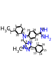 CCc1cccc(N(Cc2nc(-c3ccccc3)nn2C)c2ccc(C(=N)N)cc2)c1